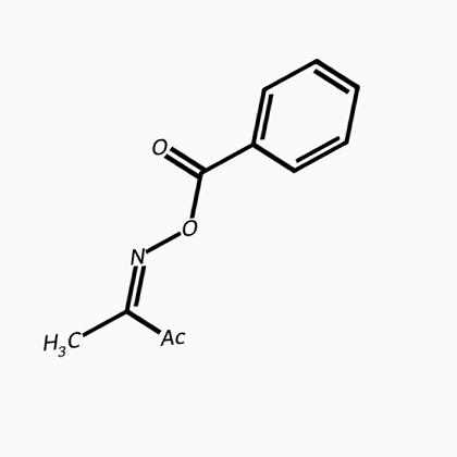 CC(=O)/C(C)=N\OC(=O)c1ccccc1